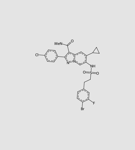 CNC(=O)c1c(-c2ccc(Cl)cc2)nn2cc(NS(=O)(=O)CCc3ccc(Br)c(F)c3)c(C3CC3)cc12